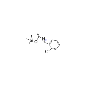 C=C(/N=C/c1ccccc1Cl)O[Si](C)(C)C